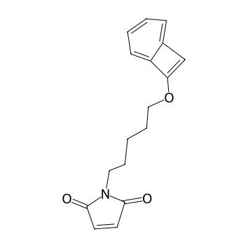 O=C1C=CC(=O)N1CCCCCOC1=Cc2ccccc21